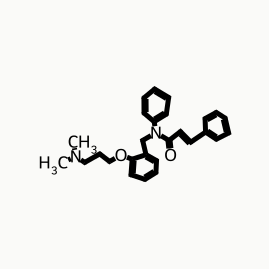 CN(C)CCCOc1ccccc1CN(C(=O)/C=C/c1ccccc1)c1ccccc1